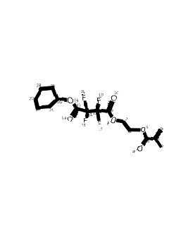 C=C(C)C(=O)OCCOC(=O)C(F)(F)C(F)(F)C(=O)OC1CCCCC1